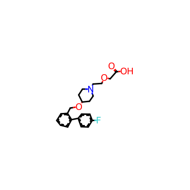 O=C(O)COCCN1CCC(OCc2ccccc2-c2ccc(F)cc2)CC1